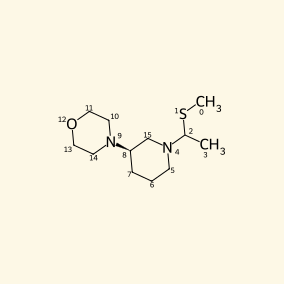 CSC(C)N1CCC[C@@H](N2CCOCC2)C1